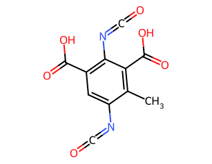 Cc1c(N=C=O)cc(C(=O)O)c(N=C=O)c1C(=O)O